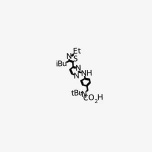 CCc1nc(C(C)CC)c(-c2ccnc(Nc3ccc(CN(C(=O)O)C(C)(C)C)cc3)n2)s1